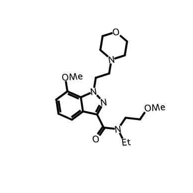 CCN(CCOC)C(=O)c1nn(CCN2CCOCC2)c2c(OC)cccc12